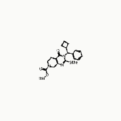 CSc1nc2c(c(=O)n1C(c1ccccc1)C1CCC1)CCN(C(=O)OC(C)(C)C)C2